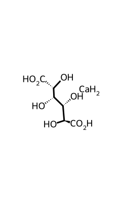 O=C(O)[C@@H](O)[C@@H](O)[C@H](O)[C@@H](O)C(=O)O.[CaH2]